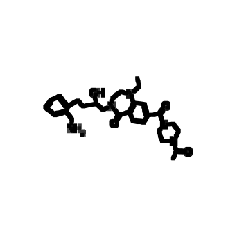 CCN1CCN(CC(O)CCc2ccccc2CN)C(=O)c2ccc(C(=O)N3CCN(C(C)=O)CC3)cc21